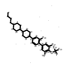 CCCCC1CCC(C2CCC(c3ccc(-c4cc(F)c(OC(F)(F)F)c(F)c4)c(F)c3)CC2)CC1